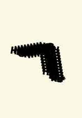 O=[Se](O)O.O=[Se](O)O.O=[Se](O)O.O=[Se](O)O.O=[Se](O)O.O=[Se](O)O.O=[Se](O)O.O=[Se](O)O.O=[Se](O)O.O=[Se](O)O.O=[Se](O)O.O=[Se](O)O.O=[Se](O)O.O=[Se](O)O.O=[Se](O)O.O=[Se](O)O.O=[Se](O)O.O=[Se](O)O.O=[Se](O)O.O=[Se]([O-])O.[Na+]